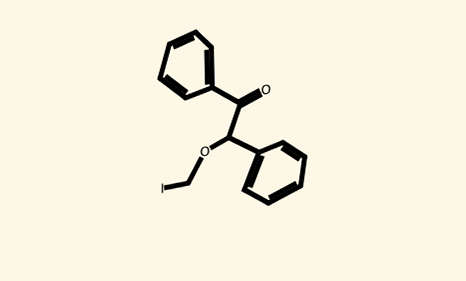 O=C(c1ccccc1)C(OCI)c1ccccc1